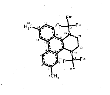 Cc1ccc2c(c1)c1c(c3ccc(C)cc32)N(C(F)(F)F)CCN1C(F)(F)F